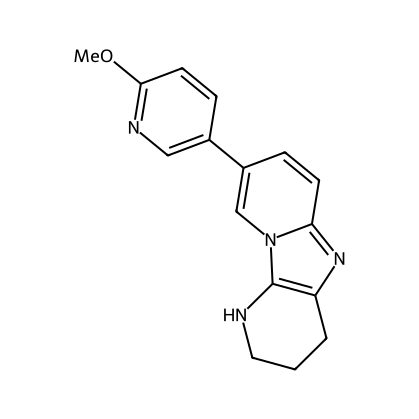 COc1ccc(-c2ccc3nc4c(n3c2)NCCC4)cn1